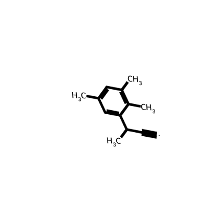 [C]#CC(C)c1cc(C)cc(C)c1C